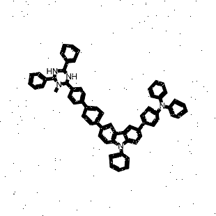 CN1C(c2ccccc2)NC(c2ccccc2)NC1c1ccc(-c2ccc(-c3ccc4c(c3)c3cc(-c5ccc(N(c6ccccc6)c6ccccc6)cc5)ccc3n4-c3ccccc3)cc2)cc1